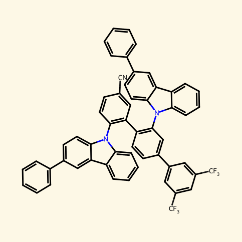 N#Cc1ccc(-n2c3ccccc3c3cc(-c4ccccc4)ccc32)c(-c2ccc(-c3cc(C(F)(F)F)cc(C(F)(F)F)c3)cc2-n2c3ccccc3c3cc(-c4ccccc4)ccc32)c1